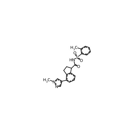 Cc1ccccc1S(=O)(=O)NC(=O)C1CCc2c(-c3cnn(C)c3)cccc21